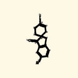 O=C1c2cc(Br)ccc2CC12CC=C(F)CC2